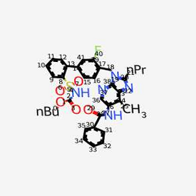 CCCCOC(=O)NS(=O)(=O)c1ccccc1-c1ccc(Cn2c(CCC)nc3c(C)c(NC(=O)c4ccccc4)cnc32)c(F)c1